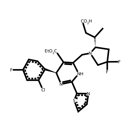 CCOC(=O)C1=C(CN2CC(F)(F)C[C@H]2C(C)CC(=O)O)NC(c2nccs2)=N[C@H]1c1ccc(F)cc1Cl